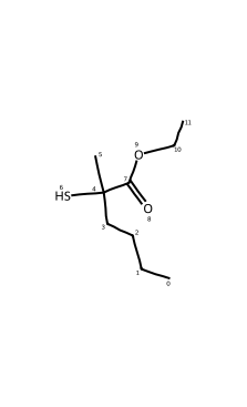 CCCCC(C)(S)C(=O)OCC